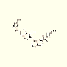 Cc1c(Oc2ccnc3ccc(S(=O)(=O)C4CC(O)C4)cc23)ccc(CC(=O)Nc2cnn(C(C)(C)C)c2)c1F